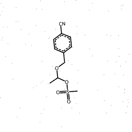 CC(OCc1ccc(C#N)cc1)OS(C)(=O)=O